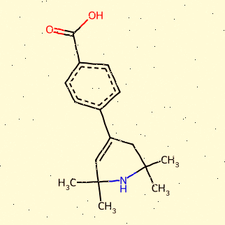 CC1(C)C=C(c2ccc(C(=O)O)cc2)CC(C)(C)N1